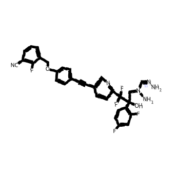 N#Cc1cccc(COc2ccc(C#Cc3ccc(C(F)(F)C(O)(CN(N)/C=N\N)c4ccc(F)cc4F)nc3)cc2)c1F